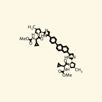 COC(=O)N[C@H](C(=O)N1C[C@@H](C)C[C@H]1c1ncc(-c2ccc(-c3ccc4cc(-c5cnc([C@@H]6C[C@H](C)CN6C(=O)[C@@H](NC(=O)OC)C6CC6)[nH]5)ccc4c3)cc2)[nH]1)C1CC1